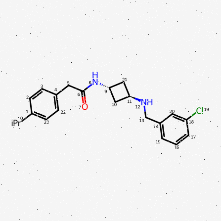 CC(C)c1ccc(CC(=O)N[C@H]2C[C@H](NCc3cccc(Cl)c3)C2)cc1